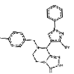 CC(C)c1nn(-c2ccccc2)cc1C1C2=NNNN2CCN1Cc1ccc(Br)cc1